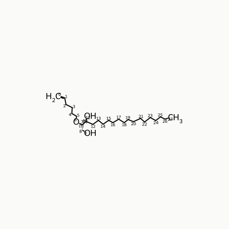 C=CCCCCO[C@@H](CO)[C@@H](O)CCCCCCCCCCCCCCCC